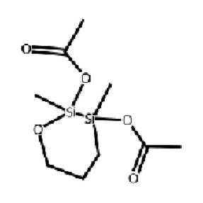 CC(=O)O[Si]1(C)CCCO[Si]1(C)OC(C)=O